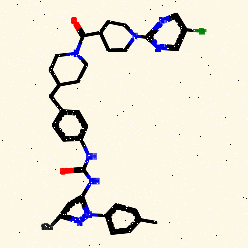 Cc1ccc(-n2nc(C(C)(C)C)cc2NC(=O)Nc2ccc(CC3CCN(C(=O)C4CCN(c5ncc(Br)cn5)CC4)CC3)cc2)cc1